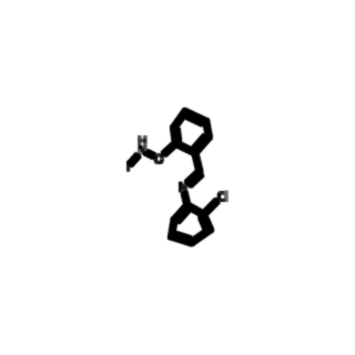 Clc1ccccc1/N=C/c1ccccc1ONI